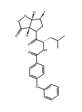 CC(C)C[C@H](NC(=O)c1ccc(Oc2ccccc2)cc1)C(=O)N1C[C@H](F)[C@H]2OCC(=O)[C@H]21